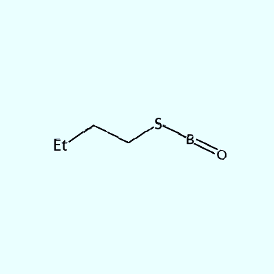 CCCCSB=O